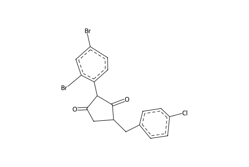 O=C1CC(Cc2ccc(Cl)cc2)C(=O)C1c1ccc(Br)cc1Br